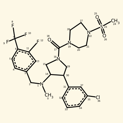 CN(Cc1ccc(C(F)(F)F)c(F)c1)C1CN(C(=O)N2CCN(S(C)(=O)=O)CC2)CC1c1cccc(Cl)c1